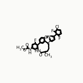 COC(=O)Nc1cc(F)c2c(c1)NC(=O)[C@H](C)CCC[C@H](c1ccc(-c3c(F)ccc(Cl)c3F)c[n+]1[O-])c1cccc-2c1